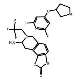 C[C@@H]1Cc2c(ccc3[nH]c(=O)oc23)[C@@H](c2c(F)cc(OC3CCNC3)cc2F)N1CC(F)(F)F